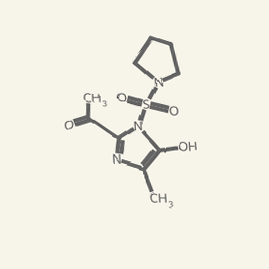 CC(=O)c1nc(C)c(O)n1S(=O)(=O)N1CCCC1